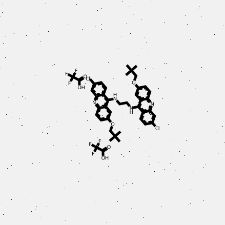 CC(C)(C)COc1ccc2nc3cc(Cl)ccc3c(NCCNc3c4ccc(Cl)cc4nc4ccc(OCC(C)(C)C)cc34)c2c1.O=C(O)C(F)(F)F.O=C(O)C(F)(F)F